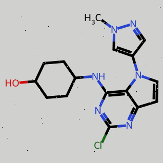 Cn1cc(-n2ccc3nc(Cl)nc(NC4CCC(O)CC4)c32)cn1